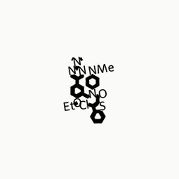 CCOc1ccc(-c2cnc(N(C)C)nc2)cc1CN(C(=O)c1sc2ccccc2c1Cl)[C@H]1CC[C@H](NC)CC1